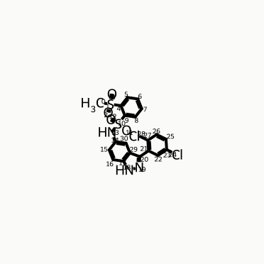 CS(=O)(=O)c1ccccc1S(=O)(=O)Nc1ccc2[nH]nc(-c3cc(Cl)ccc3Cl)c2c1